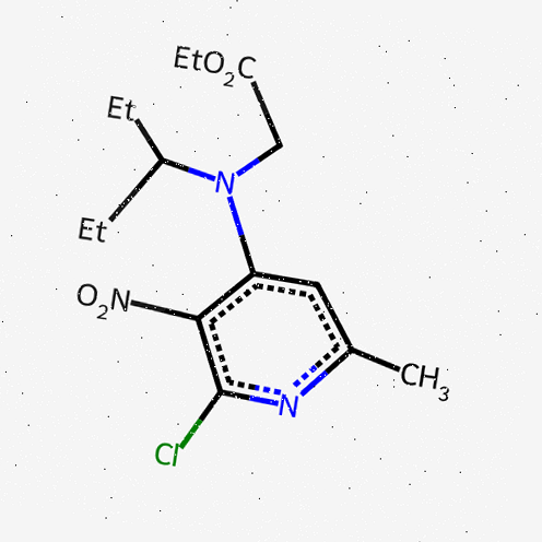 CCOC(=O)CN(c1cc(C)nc(Cl)c1[N+](=O)[O-])C(CC)CC